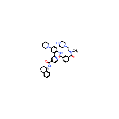 CN(CCN1CCNCC1)C(=O)c1cccc(C(=O)Nc2ccc(N3CCCCC3)cc2-c2cc(C(=O)N[C@H]3CCCc4ccccc43)ccn2)c1